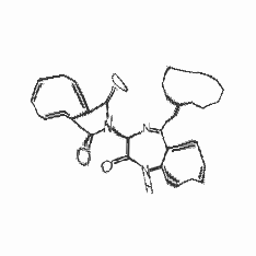 O=C1Nc2ccccc2C(C2CCCCCC2)=NC1N1C(=O)c2ccccc2C1=O